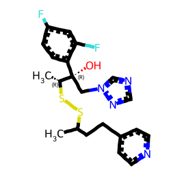 CC(CCc1ccncc1)SS[C@H](C)[C@](O)(Cn1cncn1)c1ccc(F)cc1F